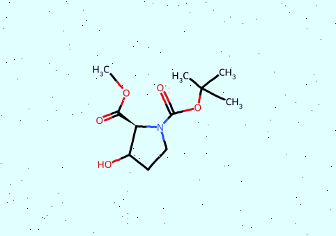 COC(=O)[C@@H]1C(O)CCN1C(=O)OC(C)(C)C